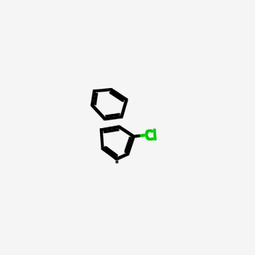 Clc1c[c]ccc1.c1ccccc1